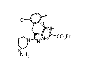 CCOC(=O)c1cn2nc(N3CCC[C@@H](N)C3)c(Cc3cc(F)ccc3Cl)c2c(=O)[nH]1